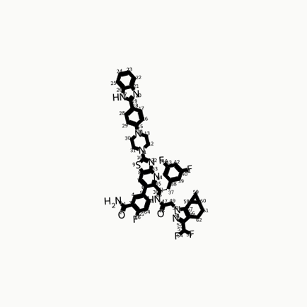 NC(=O)c1cc(-c2cc3sc(N4CCN(c5ccc(-c6nc7ccccc7[nH]6)cc5)CC4)nc3nc2[C@H](Cc2cc(F)cc(F)c2)NC(=O)Cn2nc(C(F)F)c3c2C2CC2CC3)ccc1F